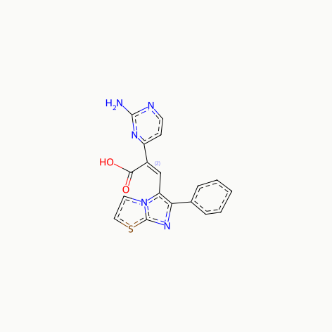 Nc1nccc(/C(=C/c2c(-c3ccccc3)nc3sccn23)C(=O)O)n1